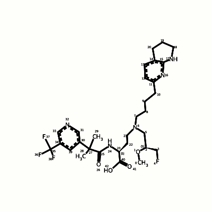 CO[C@H](CF)CN(CCCCc1ccc2c(n1)NCCC2)CC[C@H](NC(=O)C(C)(C)c1cncc(C(F)(F)F)c1)C(=O)O